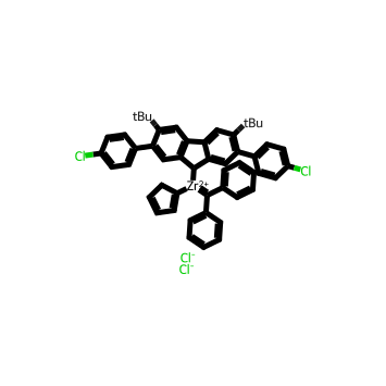 CC(C)(C)c1cc2c(cc1-c1ccc(Cl)cc1)[CH]([Zr+2]([C]1=CC=CC1)=[C](c1ccccc1)c1ccccc1)c1cc(-c3ccc(Cl)cc3)c(C(C)(C)C)cc1-2.[Cl-].[Cl-]